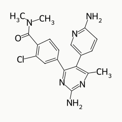 Cc1nc(N)nc(-c2ccc(C(=O)N(C)C)c(Cl)c2)c1-c1ccc(N)nc1